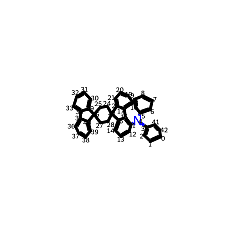 c1ccc(N(c2ccccc2)c2cccc3c2-c2ccccc2C32CCC3(CC2)c2ccccc2-c2ccccc23)cc1